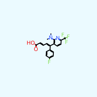 CN(C)c1nc(C(F)(F)F)ccc1C(=CC=CC(=O)O)c1ccc(F)cc1